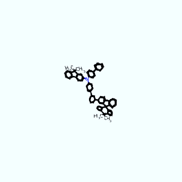 CC1(C)c2ccccc2-c2ccc(N(c3ccc(-c4ccccc4)cc3)c3ccc(-c4cccc(-c5ccc6c(c5)C5(c7ccccc7-6)c6ccccc6C(C)(C)c6ccccc65)c4)cc3)cc21